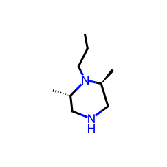 CCCN1[C@@H](C)CNC[C@@H]1C